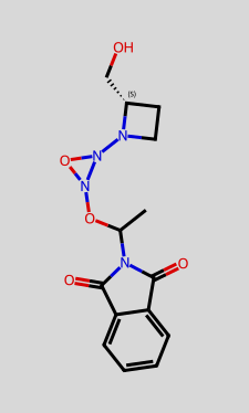 CC(On1on1N1CC[C@H]1CO)N1C(=O)c2ccccc2C1=O